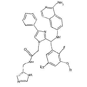 CCOc1cc(CC)cc(C(Nc2ccc3c(N)nccc3c2)c2nc(-c3ccccc3)cn2CC(=O)NCc2cnc[nH]2)c1F